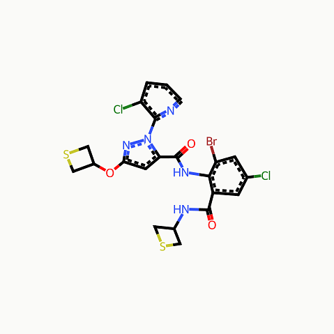 O=C(NC1CSC1)c1cc(Cl)cc(Br)c1NC(=O)c1cc(OC2CSC2)nn1-c1ncccc1Cl